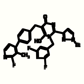 CCn1ccc(-c2nc(=O)c(Cc3ccc(-c4ccnc(F)c4C)cc3)c(O)n2Cc2cc(F)cc(F)c2)n1